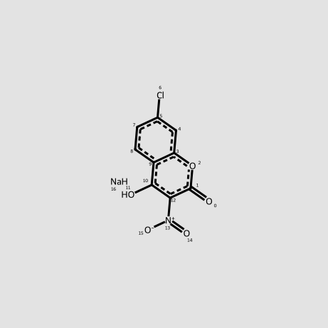 O=c1oc2cc(Cl)ccc2c(O)c1[N+](=O)[O-].[NaH]